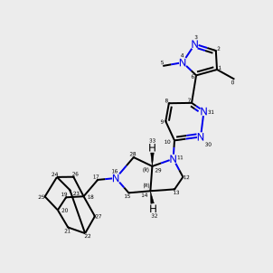 Cc1cnn(C)c1-c1ccc(N2CC[C@@H]3CN(CC45CC6CC(CC(C6)C4)C5)C[C@@H]32)nn1